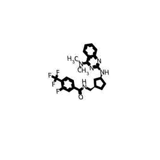 CN(C)c1nc(N[C@H]2CC[C@@H](CNC(=O)c3ccc(C(F)(F)F)c(F)c3)C2)nc2ccccc12